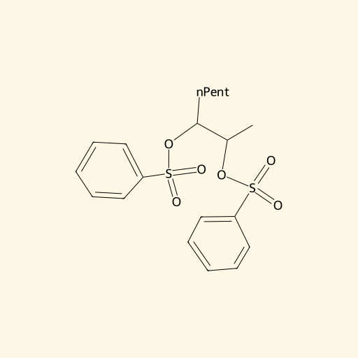 CCCCCC(OS(=O)(=O)c1ccccc1)C(C)OS(=O)(=O)c1ccccc1